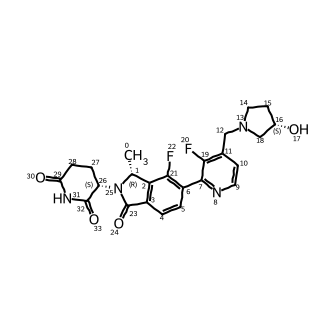 C[C@@H]1c2c(ccc(-c3nccc(CN4CC[C@H](O)C4)c3F)c2F)C(=O)N1[C@H]1CCC(=O)NC1=O